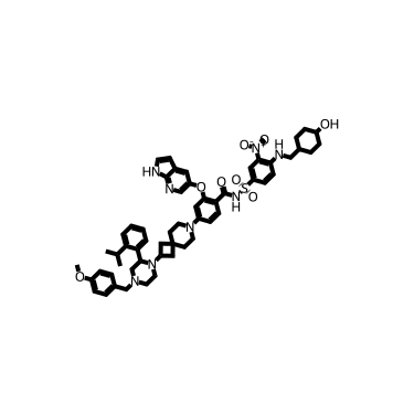 COc1ccc(CN2CCN(C3CC4(CCN(c5ccc(C(=O)NS(=O)(=O)c6ccc(NCC7CCC(O)CC7)c([N+](=O)[O-])c6)c(Oc6cnc7[nH]ccc7c6)c5)CC4)C3)C(c3ccccc3C(C)C)C2)cc1